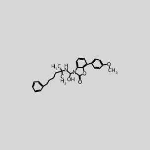 COc1ccc(-c2cccc3c2oc(=O)n3C(O)NC(C)(C)CCCCc2ccccc2)cc1